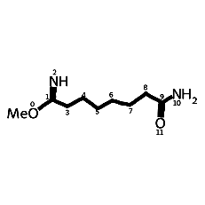 COC(=N)CCCCCCC(N)=O